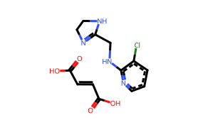 Clc1cccnc1NCC1=NCCN1.O=C(O)C=CC(=O)O